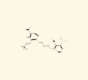 CC(=O)c1ccc(OCCCOc2cccc([N+](=O)[O-])c2C#N)c(CCC(F)(F)F)c1O